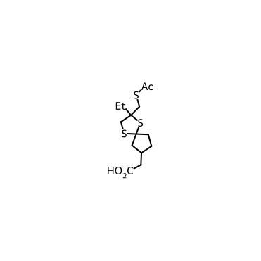 CCC1(CSC(C)=O)CSC2(CCC(CC(=O)O)C2)S1